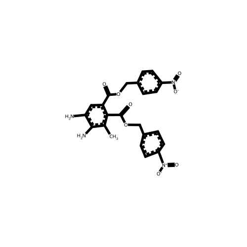 Cc1c(N)c(N)cc(C(=O)OCc2ccc([N+](=O)[O-])cc2)c1C(=O)OCc1ccc([N+](=O)[O-])cc1